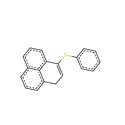 C1=C(Sc2ccccc2)c2cccc3cccc(c23)C1